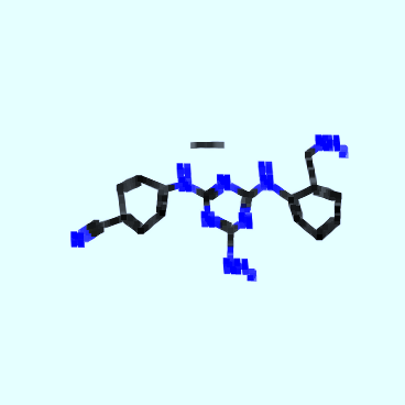 CC.N#Cc1ccc(Nc2nc(N)nc(Nc3ccccc3CN)n2)cc1